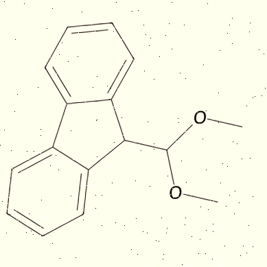 COC(OC)C1c2ccccc2-c2ccccc21